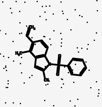 C=Cc1ccc2c(cc(C#N)n2S(=O)(=O)c2ccccc2)c1C